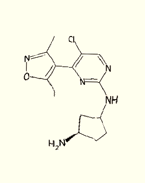 Cc1noc(C)c1-c1nc(NC2CC[C@@H](N)C2)ncc1Cl